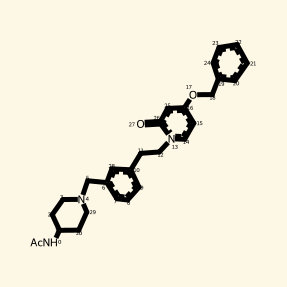 CC(=O)NC1CCN(Cc2cccc(CCn3ccc(OCc4ccccc4)cc3=O)c2)CC1